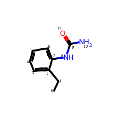 C[CH]c1ccccc1NC(N)=O